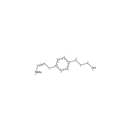 CN/C=C\Cc1ccc(OCCO)cc1